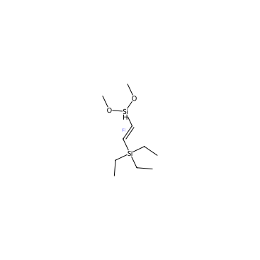 CC[Si](/C=C/[SiH](OC)OC)(CC)CC